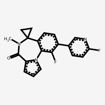 CN1C(=O)c2cccn2-c2c(ccc(-c3ccc(F)nc3)c2F)C12CC2